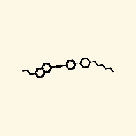 CCCCCC[C@H]1CC[C@H](c2ccc(C#Cc3ccc4cc(CCC)ccc4c3)cc2)CC1